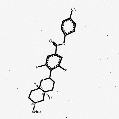 CCCCCC[C@H]1CC[C@@H]2CC(c3c(F)cc(C(=O)Oc4ccc(C#N)cc4)cc3F)CC[C@H]2C1